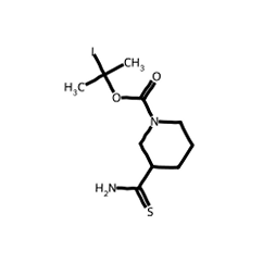 CC(C)(I)OC(=O)N1CCCC(C(N)=S)C1